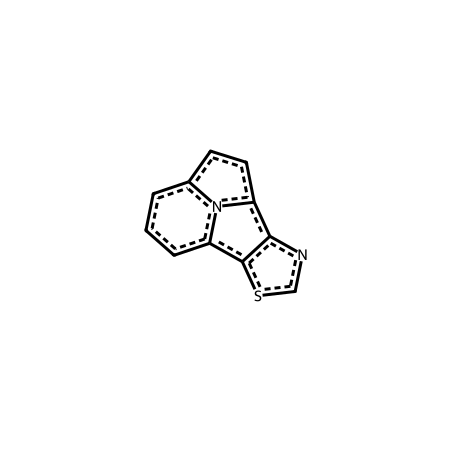 c1cc2ccc3c4ncsc4c(c1)n23